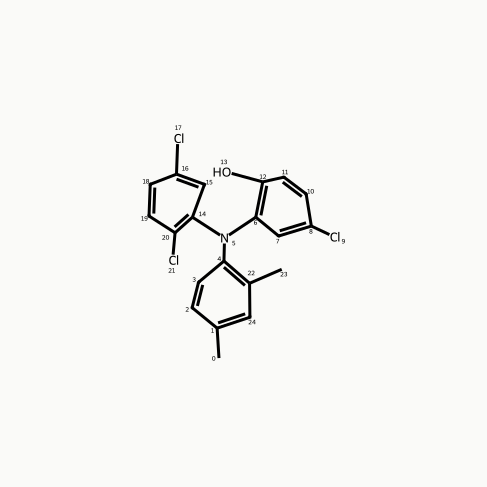 Cc1ccc(N(c2cc(Cl)ccc2O)c2cc(Cl)ccc2Cl)c(C)c1